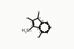 CC1=C([SiH3])c2c(C)cccc2C1C